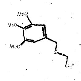 COc1cc(CSCC(=O)O)cc(OC)c1OC